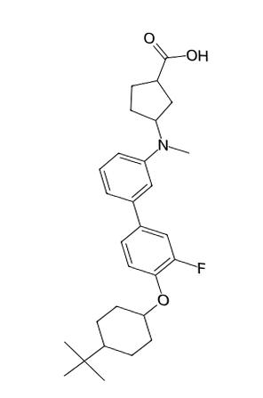 CN(c1cccc(-c2ccc(OC3CCC(C(C)(C)C)CC3)c(F)c2)c1)C1CCC(C(=O)O)C1